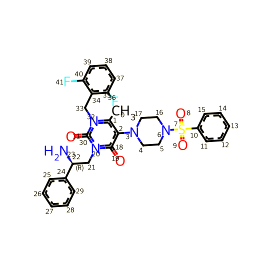 Cc1c(N2CCN(S(=O)(=O)c3ccccc3)CC2)c(=O)n(C[C@H](N)c2ccccc2)c(=O)n1Cc1c(F)cccc1F